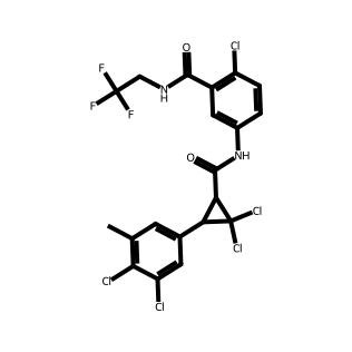 Cc1cc(C2C(C(=O)Nc3ccc(Cl)c(C(=O)NCC(F)(F)F)c3)C2(Cl)Cl)cc(Cl)c1Cl